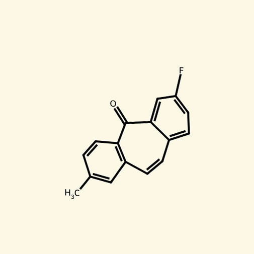 Cc1ccc2c(=O)c3cc(F)ccc3ccc2c1